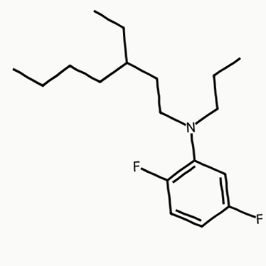 CCCCC(CC)CCN(CCC)c1cc(F)ccc1F